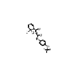 O=C(NC(=O)C1C=CC=CC1(Cl)Cl)Nc1ccc(OC(F)(F)F)cc1